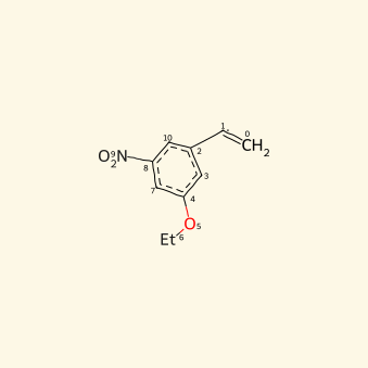 C=[C]c1cc(OCC)cc([N+](=O)[O-])c1